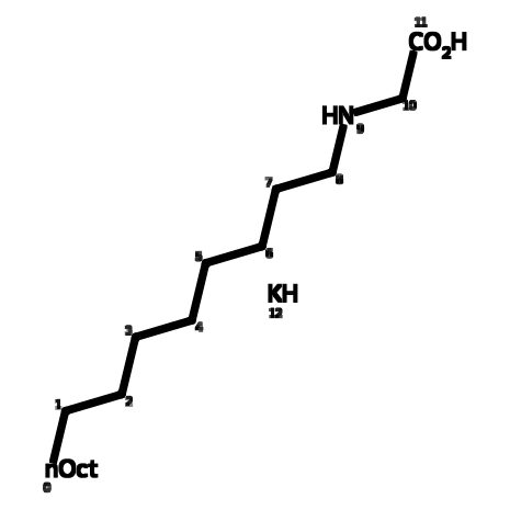 CCCCCCCCCCCCCCCCNCC(=O)O.[KH]